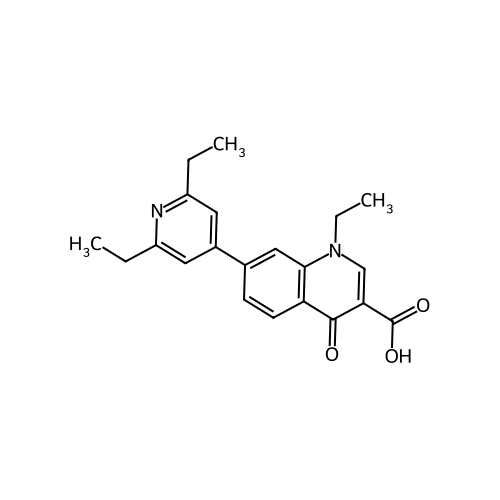 CCc1cc(-c2ccc3c(=O)c(C(=O)O)cn(CC)c3c2)cc(CC)n1